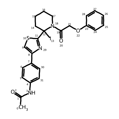 CC(=O)Nc1ccc(-c2csc(C3(I)CCCCN3C(=O)COc3ccccc3)n2)cc1